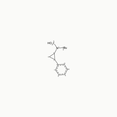 CC(C)(C)N(C(=O)O)C1CC1c1ccccc1